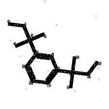 CCC(C)(C)c1[c]c(C(C)(C)CC)c[c]c1